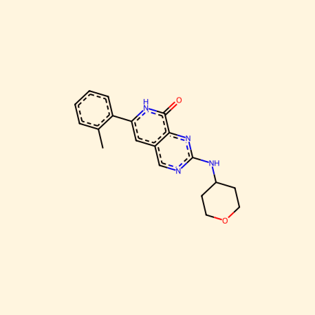 Cc1ccccc1-c1cc2cnc(NC3CCOCC3)nc2c(=O)[nH]1